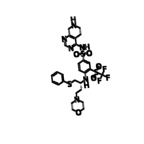 O=S(=O)(Nc1ncnc2c1CCNC2)c1ccc(N[C@H](CCN2CCOCC2)CSc2ccccc2)c(S(=O)(=O)C(F)(F)F)c1